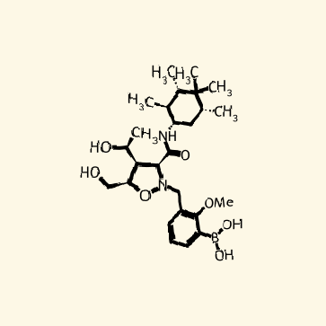 COc1c(CN2O[C@@H](CO)[C@@H]([C@H](C)O)[C@H]2C(=O)N[C@H]2C[C@@H](C)C(C)(C)[C@@H](C)[C@@H]2C)cccc1B(O)O